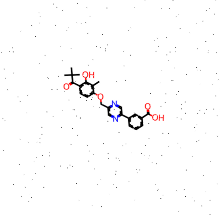 Cc1c(OCc2cnc(-c3cccc(C(=O)O)c3)cn2)ccc(C(=O)C(C)(C)C)c1O